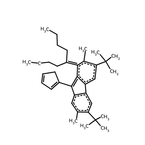 CCCCC(CCCC)=c1c(C)c(C(C)(C)C)cc2c1=C(C1=CC=CC1)c1cc(C)c(C(C)(C)C)cc1-2